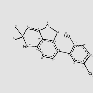 CC1(C)C=C2OCc3c(-c4cc(Cl)ccc4O)ccc(c32)N1